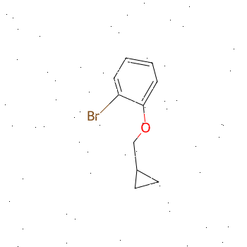 Brc1ccccc1OCC1CC1